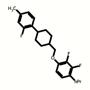 CCCc1ccc(OCC2CCC(c3ccc(C)cc3F)CC2)c(F)c1F